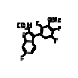 COc1c(F)c(F)cc(-c2c(C(=O)O)sc3cc(F)ccc23)c1F